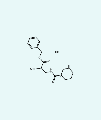 CC(=O)NC(CNC(=O)[C@@H]1CCCNC1)C(=O)OCc1ccccc1.Cl